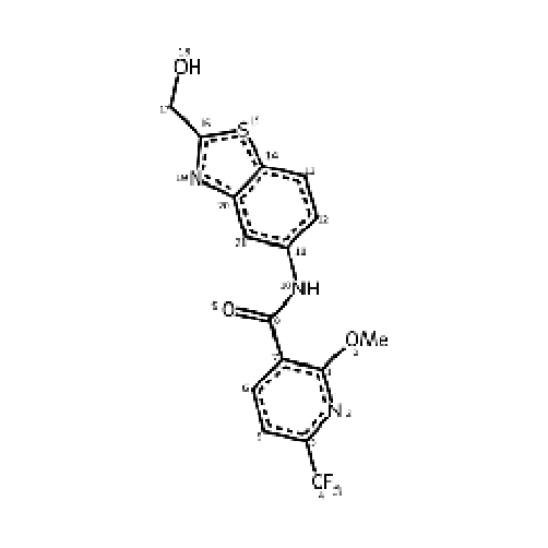 COc1nc(C(F)(F)F)ccc1C(=O)Nc1ccc2sc(CO)nc2c1